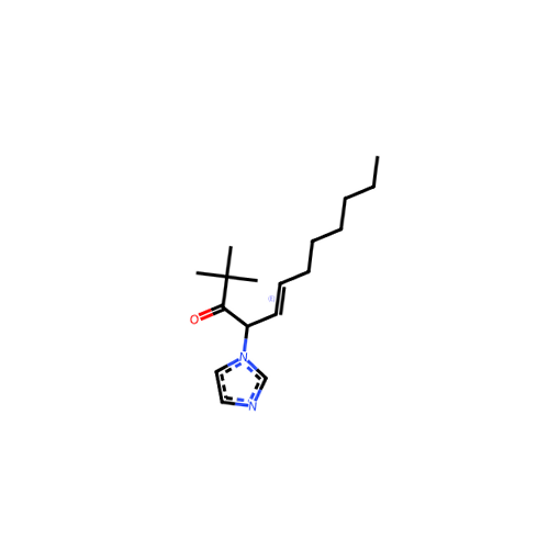 CCCCCC/C=C/C(C(=O)C(C)(C)C)n1ccnc1